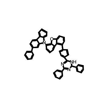 c1ccc(C2=NC(c3ccccc3)NC(c3ccc(-c4cccc5oc6c(-n7c8ccccc8c8ccc(-c9ccccc9)cc87)cccc6c45)cc3)=N2)cc1